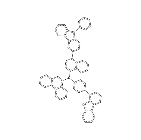 c1ccc(-n2c3ccccc3c3cc(-c4ccc(N(c5ccc(-c6cccc7c6oc6ccccc67)cc5)c5cc6ccccc6c6ccccc56)c5ccccc45)ccc32)cc1